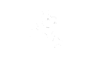 O=C(NCF)N(c1ccccc1)c1ccc(-c2ccccc2)cc1C1N=NN=N1